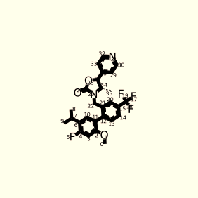 COc1cc(F)c(C(C)C)cc1-c1ccc(C(F)(F)F)cc1CN1C(=O)OC(c2ccncc2)[C@@H]1C